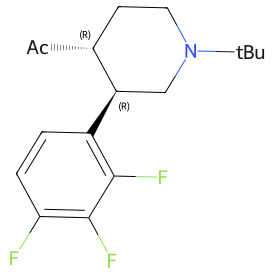 CC(=O)[C@@H]1CCN(C(C)(C)C)C[C@H]1c1ccc(F)c(F)c1F